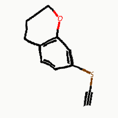 C#CSc1ccc2c(c1)OCCC2